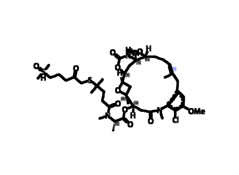 COc1cc2cc(c1Cl)N(C)C(=O)C[C@H](OC(=O)[C@H](C)N(C)C(=O)CCC(C)(C)SCC(=O)CCC[SH](C)(C)=O)[C@@]1(C)CC(C)(O1)[C@@H]1C[C@@](O)(NC(=O)O1)[C@H](OC)CC/C=C(\C)C2